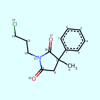 CC1(c2ccccc2)CC(=O)N(CCCCl)C1=O